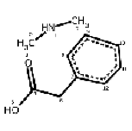 CNC.O=C(O)Cc1ccccc1